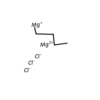 CCC[CH2][Mg+].[Cl-].[Cl-].[Cl-].[Mg+2]